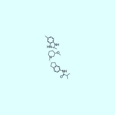 CO[C@H]1CN(C[C@H]2Cc3ccc(NC(=O)C(C)C)cc3C2)CC[C@@H]1C1(C)Nc2ccc(C)cc2N1